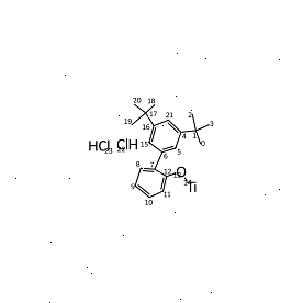 CC(C)(C)c1cc(-c2ccccc2[O][Ti])cc(C(C)(C)C)c1.Cl.Cl